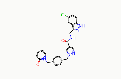 O=C(NCc1n[nH]c2ccc(Cl)cc12)c1cnn(Cc2ccc(Cn3ccccc3=O)cc2)c1